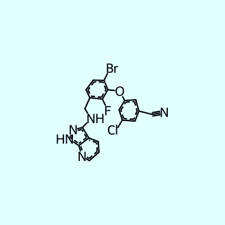 N#Cc1cc(Cl)cc(Oc2c(Br)ccc(CNc3n[nH]c4ncccc34)c2F)c1